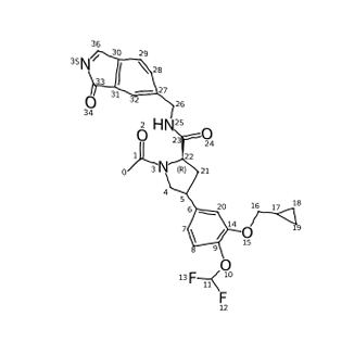 CC(=O)N1CC(c2ccc(OC(F)F)c(OCC3CC3)c2)C[C@@H]1C(=O)NCc1ccc2c(c1)C(=O)N=C2